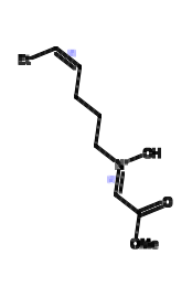 CC/C=C\CCC/[N+](O)=C/C(=O)OC